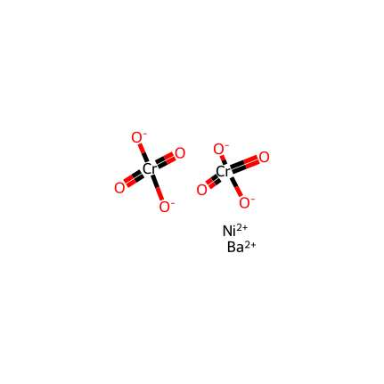 [Ba+2].[Ni+2].[O]=[Cr](=[O])([O-])[O-].[O]=[Cr](=[O])([O-])[O-]